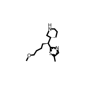 COCCCC[C@H](c1ncc(C)s1)[C@H]1CCCNC1